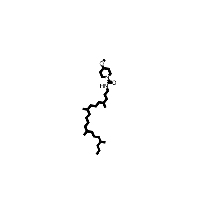 CCCC(C)CCCC(C)CCCCC(C)CCCC(C)CCCNC(=O)N1CCC(OC)CC1